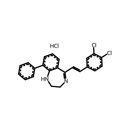 Cl.Clc1ccc(C=CC2=NCCNc3c2cccc3-c2ccccc2)cc1Cl